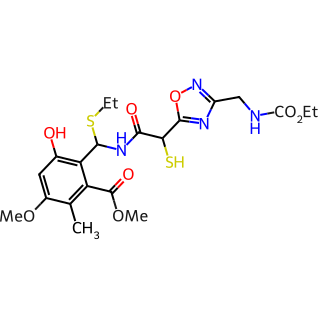 CCOC(=O)NCc1noc(C(S)C(=O)NC(SCC)c2c(O)cc(OC)c(C)c2C(=O)OC)n1